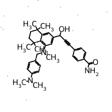 CN(C)c1ccc(CN(C)c2cc(C(O)C#Cc3ccc(C(N)=O)cc3)cc3c2C(C)(C)CCC3(C)C)cc1